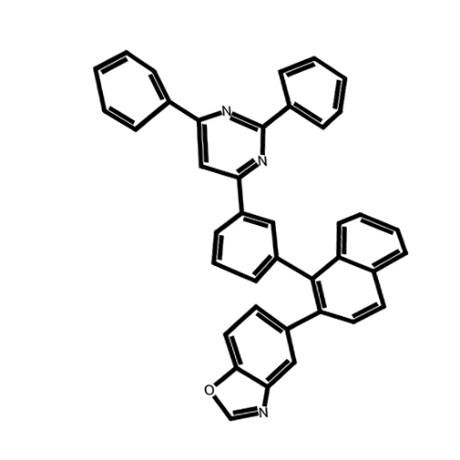 c1ccc(-c2cc(-c3cccc(-c4c(-c5ccc6ocnc6c5)ccc5ccccc45)c3)nc(-c3ccccc3)n2)cc1